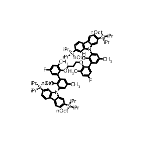 CCCCCCCC[Si](c1ccc2c3ccc([Si](CCCCCCCC)(C(C)C)C(C)C)cc3n(-c3cc(C)cc(-c4cc(F)cc(C)c4OCCCOc4c(C)cc(F)cc4-c4cc(C)cc(-n5c6cc([Si](CCCCCCCC)(C(C)C)C(C)C)ccc6c6ccc([Si](CCCCCCCC)(C(C)C)C(C)C)cc65)c4O)c3O)c2c1)(C(C)C)C(C)C